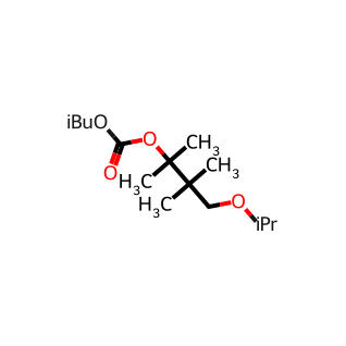 CC(C)COC(=O)OC(C)(C)C(C)(C)COC(C)C